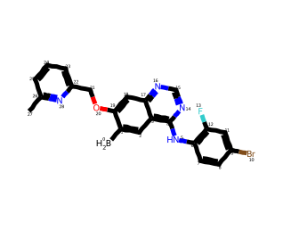 Bc1cc2c(Nc3ccc(Br)cc3F)ncnc2cc1OCc1cccc(C)n1